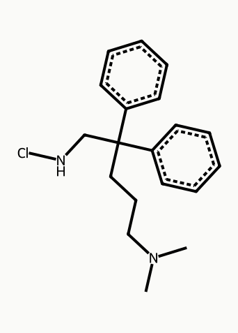 CN(C)CCCC(CNCl)(c1ccccc1)c1ccccc1